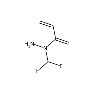 C=CC(=C)N(N)C(F)F